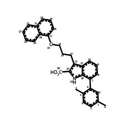 Cc1ccc(C)c(-c2cccc3c(CCCOc4cccc5ccccc45)c(C(=O)O)[nH]c23)c1